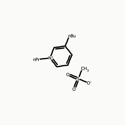 CCCCc1ccc[n+](CCC)c1.CS(=O)(=O)[O-]